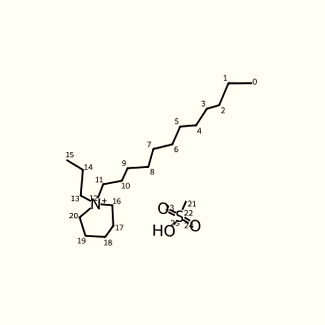 CCCCCCCCCCCC[N+]1(CCC)CCCCC1.CS(=O)(=O)O